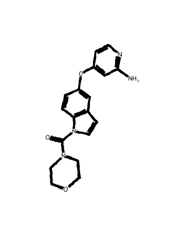 Nc1cc(Oc2ccc3c(ccn3C(=O)N3CCOCC3)c2)ccn1